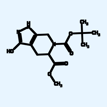 COC(=O)C1Cc2c(O)n[nH]c2CN1C(=O)OC(C)(C)C